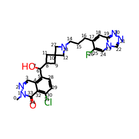 Cn1ncc2c(C(O)C3CC4(C3)CN(CCCc3cc5nncn5cc3F)C4)ccc(Cl)c2c1=O